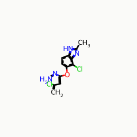 C=C(Cl)/C=C(\N=C/N)Oc1ccc2[nH]c(C)nc2c1Cl